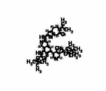 Cc1c(CO[Si](C)(C)C(C)(C)C)cncc1-c1cc2cc(Nc3cc4n(n3)CC(=O)N(C(C)C)CC4)ncc2c(NC(=O)OC(C)(C)C)c1F